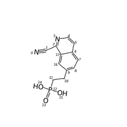 N#Cc1nccc2ccc(CCP(=O)(O)O)cc12